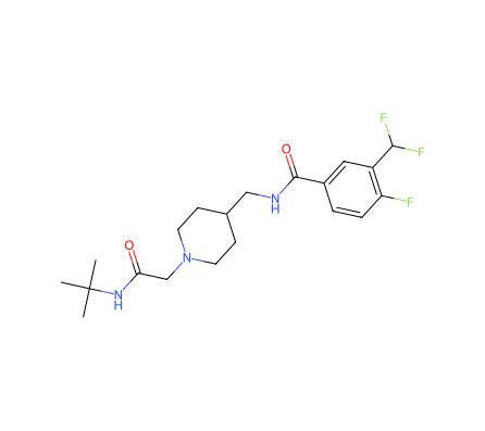 CC(C)(C)NC(=O)CN1CCC(CNC(=O)c2ccc(F)c(C(F)F)c2)CC1